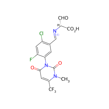 Cn1c(C(F)(F)F)cc(=O)n(-c2cc(/C=N/[C@H](C=O)C(=O)O)c(Cl)cc2F)c1=O